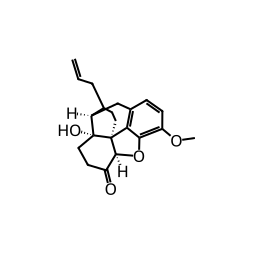 C=CCC1CC[C@]23c4c5ccc(OC)c4O[C@H]2C(=O)CC[C@@]3(O)[C@H]1C5